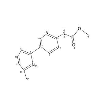 COC(=O)Nc1ccc(-c2cccc(C)n2)cc1